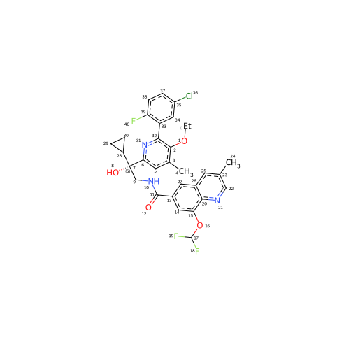 CCOc1c(C)cc([C@@](O)(CNC(=O)c2cc(OC(F)F)c3ncc(C)cc3c2)C2CC2)nc1-c1cc(Cl)ccc1F